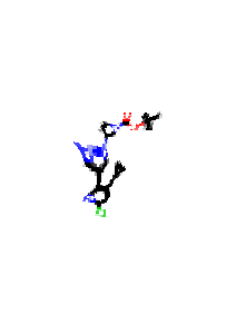 CC(C)(C)OC(=O)N1CCC(n2cc(-c3cnc(Cl)cc3C3CC3)cn2)C1